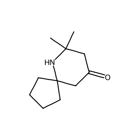 CC1(C)CC(=O)CC2(CCCC2)N1